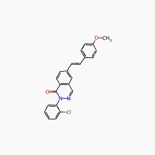 COc1ccc(C=Cc2ccc3c(=O)n(-c4ccccc4Cl)ncc3c2)cc1